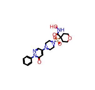 O=C(NO)C1(S(=O)(=O)N2CCN(c3cnn(-c4ccccc4)c(=O)c3)CC2)CCOCC1